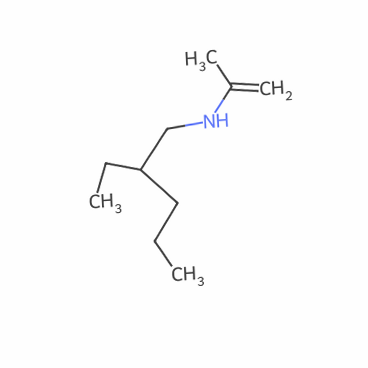 C=C(C)NCC(CC)CCC